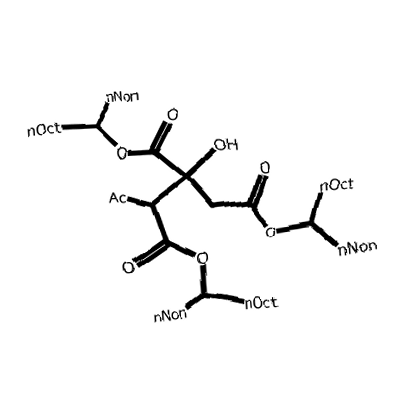 CCCCCCCCCC(CCCCCCCC)OC(=O)CC(O)(C(=O)OC(CCCCCCCC)CCCCCCCCC)C(C(C)=O)C(=O)OC(CCCCCCCC)CCCCCCCCC